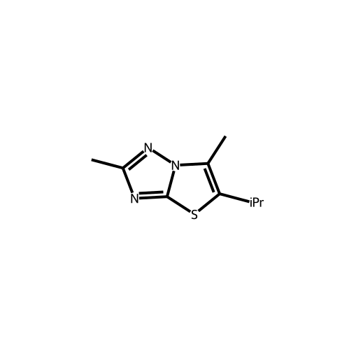 Cc1nc2sc(C(C)C)c(C)n2n1